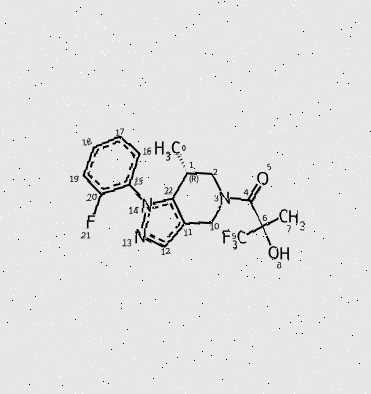 C[C@@H]1CN(C(=O)C(C)(O)C(F)(F)F)Cc2cnn(-c3ccccc3F)c21